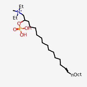 CCCCCCCC/C=C/CCCCCCCCCCCCC(C[N+](C)(CC)CC)OP(=O)(O)O